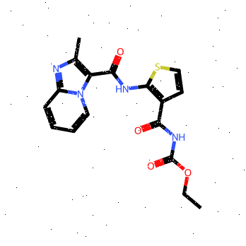 CCOC(=O)NC(=O)c1ccsc1NC(=O)c1c(C)nc2ccccn12